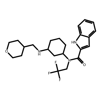 O=C(c1cc2ccccc2[nH]1)N(CC(F)(F)F)C1CCCC(NCC2CCOCC2)C1